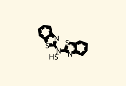 SN(c1nc2ccccc2s1)c1nc2ccccc2s1